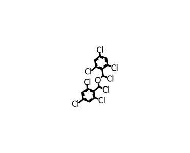 Clc1cc(Cl)c(C(Cl)OC(Cl)c2c(Cl)cc(Cl)cc2Cl)c(Cl)c1